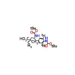 [2H]c1cc(C[C@@H](CC(C)(C)C(=O)O)NC(=O)OC(C)(C)C)cc([2H])c1NC(=O)OC(C)(C)C